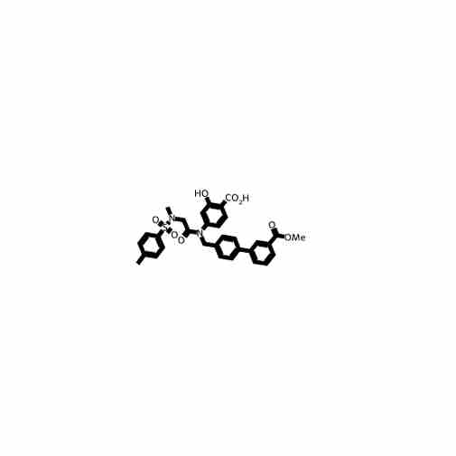 COC(=O)c1cccc(-c2ccc(CN(C(=O)CN(C)S(=O)(=O)c3ccc(C)cc3)c3ccc(C(=O)O)c(O)c3)cc2)c1